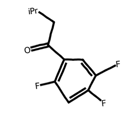 CC(C)CC(=O)c1cc(F)c(F)cc1F